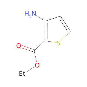 CCOC(=O)c1sccc1N